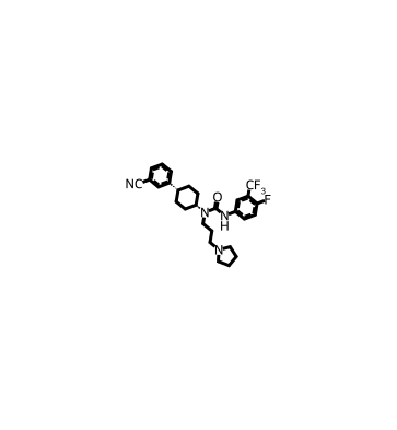 N#Cc1cccc([C@H]2CC[C@@H](N(CCCN3CCCC3)C(=O)Nc3ccc(F)c(C(F)(F)F)c3)CC2)c1